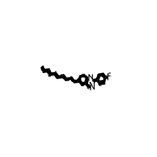 CCCCCCCCCCC1CCc2nc(-c3ccc(F)cc3)ncc2C1